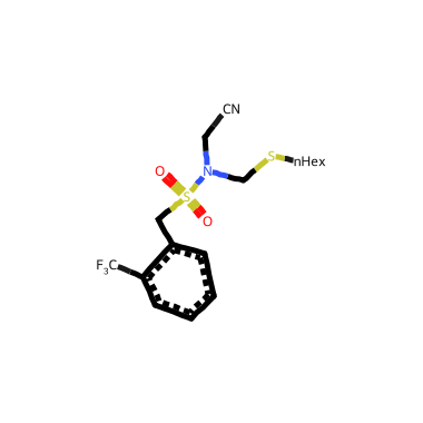 CCCCCCSCN(CC#N)S(=O)(=O)Cc1ccccc1C(F)(F)F